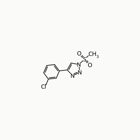 CS(=O)(=O)n1cc(-c2cccc(Cl)c2)nn1